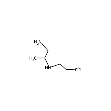 CCCCCNC(C)CN